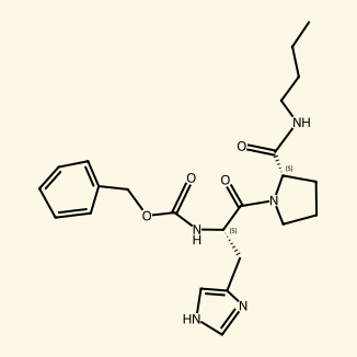 CCCCNC(=O)[C@@H]1CCCN1C(=O)[C@H](Cc1c[nH]cn1)NC(=O)OCc1ccccc1